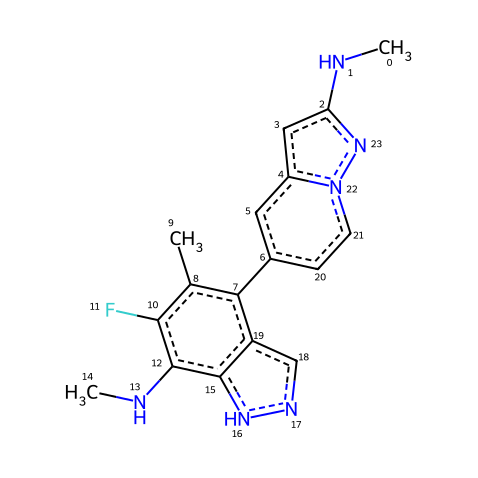 CNc1cc2cc(-c3c(C)c(F)c(NC)c4[nH]ncc34)ccn2n1